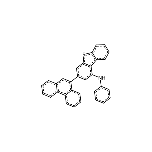 c1ccc(Nc2cc(-c3cc4ccccc4c4ccccc34)cc3sc4ccccc4c23)cc1